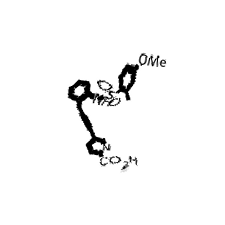 COc1ccc(S(=O)(=O)Nc2ccccc2C#Cc2ccc(C(=O)O)nc2)c(C)c1